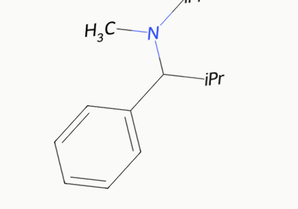 CC(C)C(c1ccccc1)N(C)C(C)C